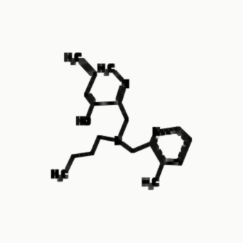 C=C/C=C(O)\C(CN(CCCC)Cc1ncccc1C)=N/C